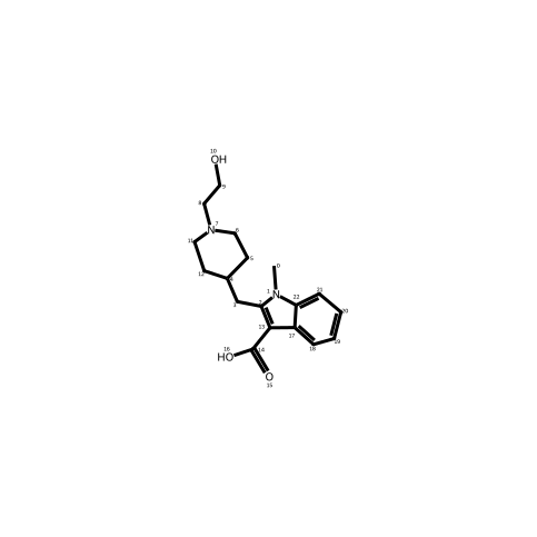 Cn1c(CC2CCN(CCO)CC2)c(C(=O)O)c2ccccc21